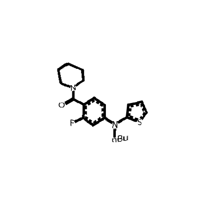 CCCCN(c1ccc(C(=O)N2CCCCC2)c(F)c1)c1cccs1